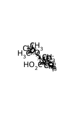 Cc1cc(OCCCn2c(C)c([S+]([O-])c3ccc(F)cc3)c(C)c2C(=O)O)cc(C)c1Cl